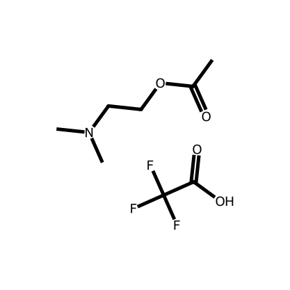 CC(=O)OCCN(C)C.O=C(O)C(F)(F)F